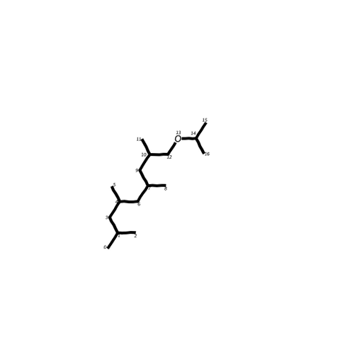 CC(C)CC(C)CC(C)CC(C)COC(C)C